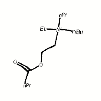 CCCC[N+](CC)(CCC)CCOC(=O)CCC